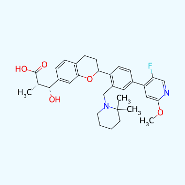 COc1cc(-c2ccc(C3CCc4ccc([C@H](O)[C@H](C)C(=O)O)cc4O3)c(CN3CCCCC3(C)C)c2)c(F)cn1